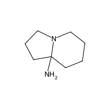 NC12CCCCN1CCC2